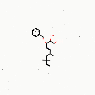 C=CC(C)(C)CC(C)/C=C/C(OCc1ccccc1)C(CO)OC